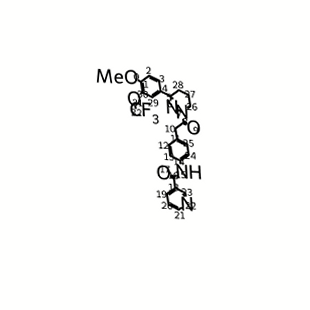 COc1ccc(C2=NN(C(=O)Cc3ccc(NC(=O)c4cccnc4)cc3)CCC2)cc1OC(F)(F)F